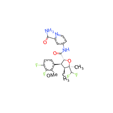 COc1c([C@H]2[C@H](C(=O)Nc3ccnc(C(N)=O)c3)O[C@@](C)(C(F)F)[C@H]2C)ccc(F)c1F